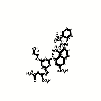 C=CCOc1nc(Nc2cc(S(=O)(=O)O)cc3ccc(N=Nc4ccccc4S(=O)(=O)ON)c(O)c23)nc(NC(CC(N)=O)C(=O)O)n1